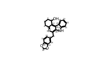 OC1CCCc2nc(Cc3ccc4c(c3)OCO4)c3[nH]c4ccccc4c3c21